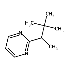 CC(c1ncccn1)C(C)(C)C